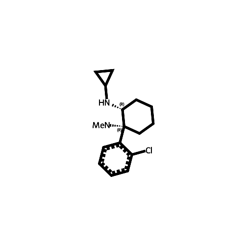 CN[C@@]1(c2ccccc2Cl)CCCC[C@H]1NC1CC1